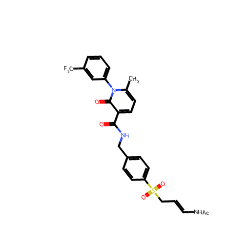 CC(=O)NC=CCS(=O)(=O)c1ccc(CNC(=O)c2ccc(C)n(-c3cccc(C(F)(F)F)c3)c2=O)cc1